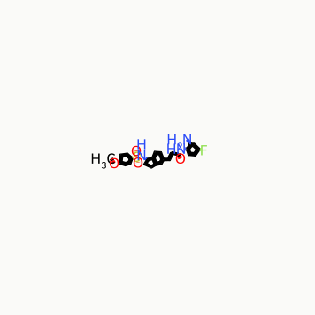 COc1ccc(S(=O)(=O)NC2CCc3cc(/C=C/C(=O)Nc4ccc(F)cc4N)ccc32)cc1